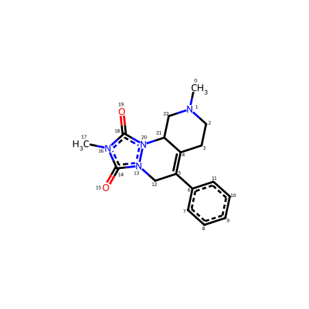 CN1CCC2=C(c3ccccc3)Cn3c(=O)n(C)c(=O)n3C2C1